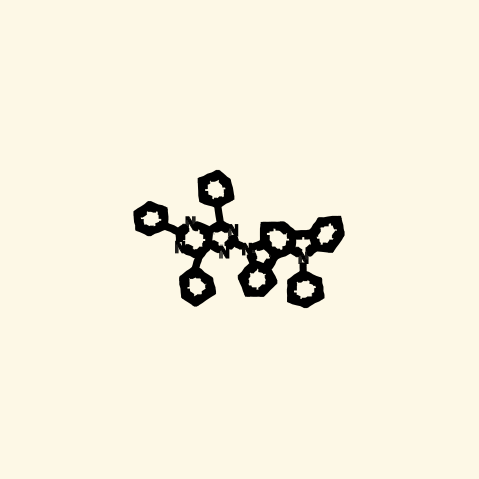 c1ccc(-c2nc(-c3ccccc3)c3nc(-n4c5ccccc5c5c4ccc4c6ccccc6n(-c6ccccc6)c45)nc(-c4ccccc4)c3n2)cc1